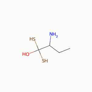 CCC(N)C(O)(S)S